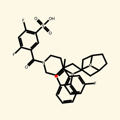 Cc1nc2ccccc2n1C1CC2CCC(C1)N2CCC1(c2cccc(F)c2)CCN(C(=O)c2cc(S(=O)(=O)O)c(F)cc2F)CC1